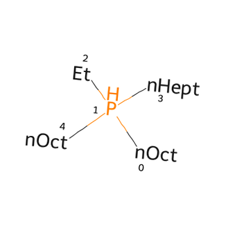 CCCCCCCC[PH](CC)(CCCCCCC)CCCCCCCC